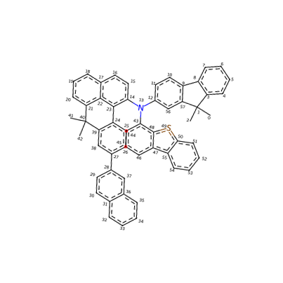 CC1(C)c2ccccc2-c2ccc(N(c3ccc4cccc5c4c3-c3ccc(-c4ccc6ccccc6c4)cc3C5(C)C)c3cccc4c3sc3ccccc34)cc21